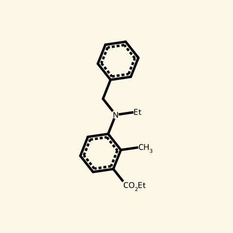 CCOC(=O)c1cccc(N(CC)Cc2ccccc2)c1C